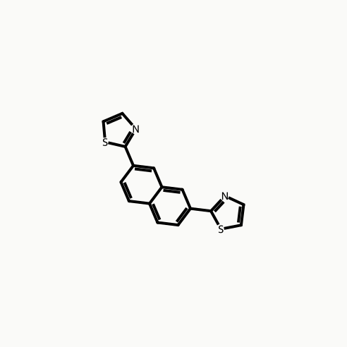 c1csc(-c2ccc3ccc(-c4nccs4)cc3c2)n1